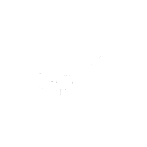 COc1ccc(CN2CCN(c3ccccc3)C(C)(C)C2=O)cc1